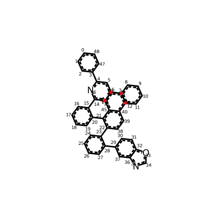 c1ccc(-c2cc(-c3ccccc3)nc(-c3ccccc3-c3c(-c4ccccc4-c4ccc5ocnc5c4)ccc4ccccc34)n2)cc1